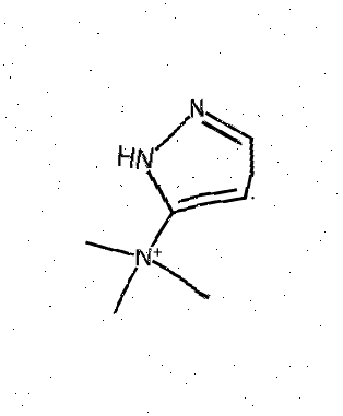 C[N+](C)(C)c1[c]cn[nH]1